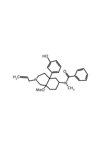 C=CCN1CCC2(c3cccc(O)c3)CC(N(C)C(=O)c3ccccc3)CCC2(OC)C1